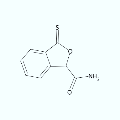 NC(=O)C1OC(=S)c2ccccc21